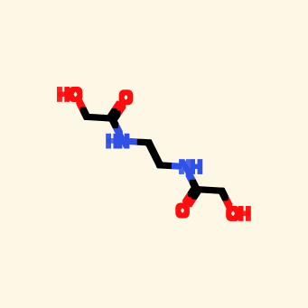 O=C(CO)NCCNC(=O)CO